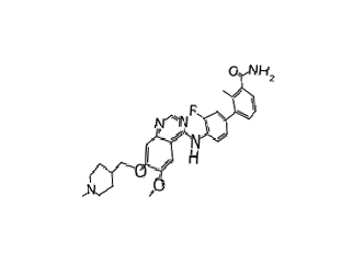 COc1cc2c(Nc3ccc(-c4cccc(C(N)=O)c4C)cc3F)ncnc2cc1OCC1CCN(C)CC1